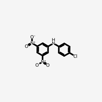 O=[N+]([O-])c1cc(Nc2ccc(Cl)cc2)cc([N+](=O)[O-])c1